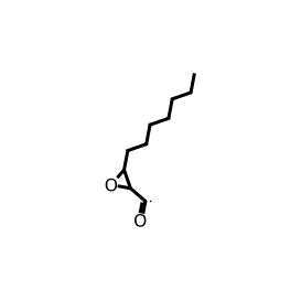 CCCCCCCC1OC1[C]=O